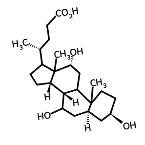 C[C@H](CCC(=O)O)C1CC[C@H]2[C@H]3C(O)C[C@@H]4C[C@H](O)CCC4(C)C3C[C@@H](O)C12C